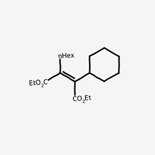 CCCCCC/C(C(=O)OCC)=C(/C(=O)OCC)C1CCCCC1